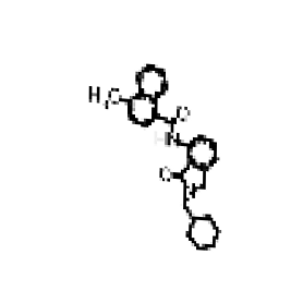 Cc1ccc(C(=O)Nc2cccc3c2C(=O)N(CC2CCCCC2)C3)c2ccccc12